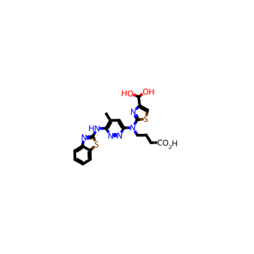 Cc1cc(N(CCCC(=O)O)c2nc(C(O)O)cs2)nnc1Nc1nc2ccccc2s1